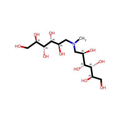 CN(C[C@@H](O)[C@@H](O)[C@H](O)[C@H](O)CO)C[C@@H](O)[C@@H](O)[C@H](O)[C@H](O)CO